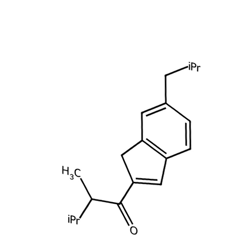 CC(C)Cc1ccc2c(c1)CC(C(=O)C(C)C(C)C)=C2